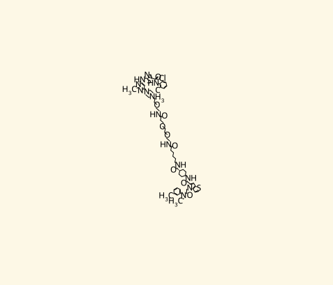 CCN(C(=O)Cn1c(C(=O)N[C@H]2CC[C@H](C(=O)NCCCCCC(=O)NCCOCCOCCC(=O)NCCOCCN3CCN(c4cc(Nc5ncc(C(=O)Nc6c(C)cccc6Cl)s5)nc(C)n4)CC3)CC2)cc2sccc21)c1cccc(C)c1